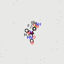 Cc1c(C(=O)NC2CCOCC2)cc(-c2ccc(S(=O)(=O)NC(C)(C)C)c(C(F)(F)F)c2)n1CC1(O)CCCCC1